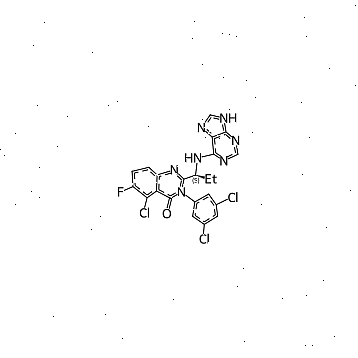 CC[C@H](Nc1ncnc2[nH]cnc12)c1nc2ccc(F)c(Cl)c2c(=O)n1-c1cc(Cl)cc(Cl)c1